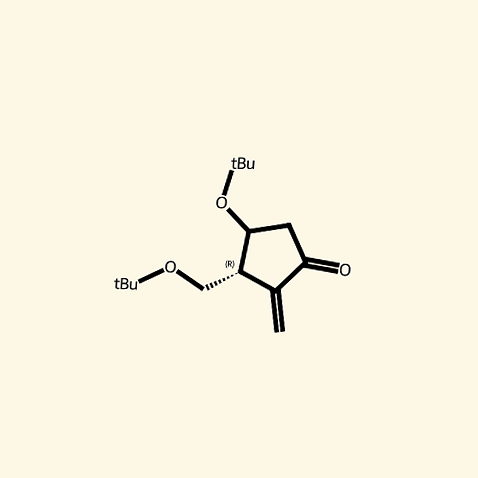 C=C1C(=O)CC(OC(C)(C)C)[C@H]1COC(C)(C)C